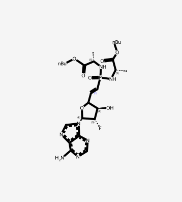 CCCCOC(=O)[C@H](C)NP(=O)(/C=C/C1O[C@@H](n2cnc3c(N)ncnc32)[C@@H](F)[C@@H]1O)N[C@@H](C)C(=O)OCCCC